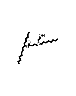 CCCCCCCCC(CCCCCC)OC(=O)CCCN(CCO)CCCCCCCC